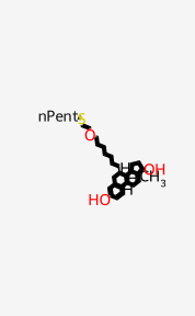 CCCCCSCCOCCCCCCC[C@@H]1Cc2cc(O)ccc2[C@H]2CC[C@]3(C)[C@@H](O)CC[C@H]3[C@H]12